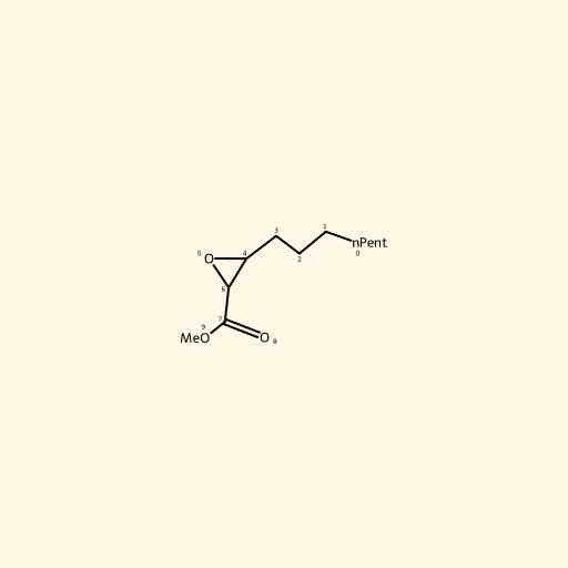 CCCCCCCCC1OC1C(=O)OC